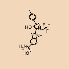 Cc1ccc(-c2nn(CC(F)(F)F)c(-c3nc4cc(/C(N)=N/O)ccc4[nH]3)c2O)cc1